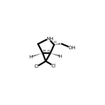 OC[C@H]1NC[C@H]2[C@@H]1C2(Cl)Cl